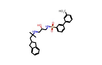 CC(C)(CC1Cc2ccccc2C1)NC[C@@H](O)CNS(=O)(=O)c1cccc(-c2cccc(C(=O)O)c2)c1